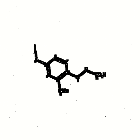 COc1cc(CI)ccc1OCC(=O)O